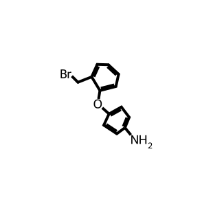 Nc1ccc(Oc2ccccc2CBr)cc1